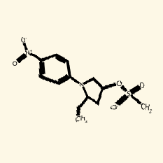 CCC1CC(OS(C)(=O)=O)CN1c1ccc([N+](=O)[O-])cc1